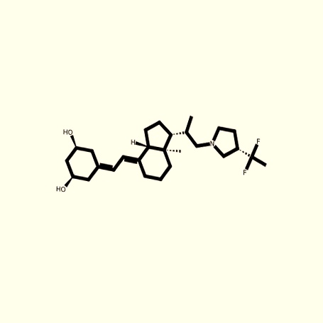 CC(CN1CC[C@H](C(C)(F)F)C1)[C@H]1CC[C@H]2/C(=C/C=C3/C[C@@H](O)C[C@@H](O)C3)CCC[C@]12C